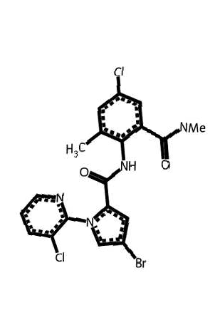 CNC(=O)c1cc(Cl)cc(C)c1NC(=O)c1cc(Br)cn1-c1ncccc1Cl